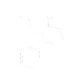 CCC(=O)Oc1c(N)cccc1-c1ccccc1